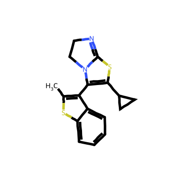 Cc1sc2ccccc2c1C1=C(C2CC2)SC2=NCCN21